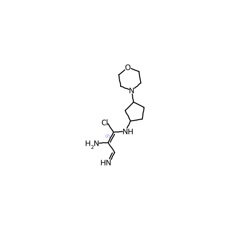 N=C/C(N)=C(/Cl)NC1CCC(N2CCOCC2)C1